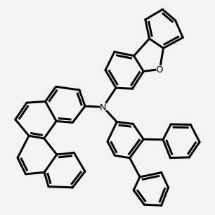 c1ccc(-c2ccc(N(c3ccc4c(c3)oc3ccccc34)c3ccc4ccc5ccc6ccccc6c5c4c3)cc2-c2ccccc2)cc1